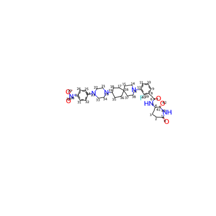 O=C1CCC(NC(=O)c2cccc(N3CCC4(CCC(N5CCN(c6ccc([N+](=O)[O-])cc6)CC5)CC4)CC3)c2F)C(=O)N1